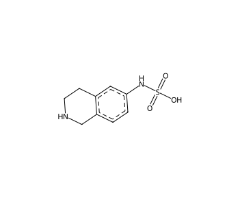 O=S(=O)(O)Nc1ccc2c(c1)CCNC2